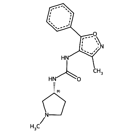 Cc1noc(-c2ccccc2)c1NC(=O)N[C@@H]1CCN(C)C1